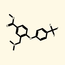 COC(=O)c1ccc(Oc2ccc(C(F)(F)F)cc2)c(CN(C)C)c1